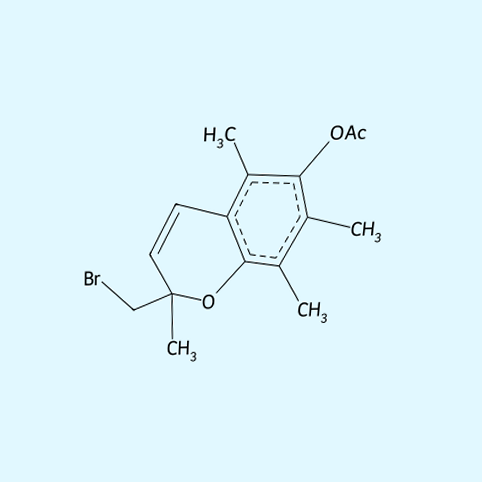 CC(=O)Oc1c(C)c(C)c2c(c1C)C=CC(C)(CBr)O2